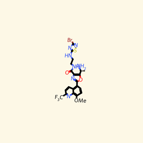 COc1ccc(-c2nc(C(=O)NCCNc3nc(Br)ns3)c([C@H](C)N)o2)c2ccc(C(F)(F)F)nc12